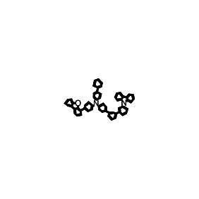 C1=C(c2cccc(-c3cccc(-n4c5ccccc5c5ccccc54)c3)c2)CCC(N(c2ccc(-c3ccccc3)cc2)c2ccc(-c3cccc4c3oc3ccccc34)cc2)=C1